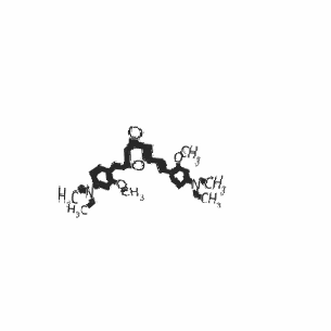 CCN(CC)c1ccc(/C=C/c2cc(=O)cc(/C=C/c3ccc(N(CC)CC)cc3OC)o2)c(OC)c1